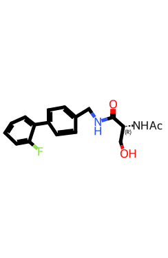 CC(=O)N[C@H](CO)C(=O)NCc1ccc(-c2ccccc2F)cc1